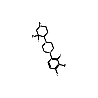 Fc1c(Cl)ccc(N2CCN(C3CCNCC3(F)F)CC2)c1F